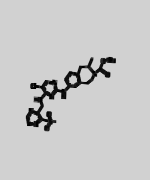 CC1Cc2ccc(Nc3ncc(Cl)c(NCc4nccnc4S(C)(=O)=O)n3)cc2CCN1C(=O)OC(C)(C)C